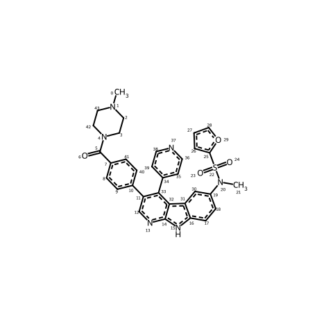 CN1CCN(C(=O)c2ccc(-c3cnc4[nH]c5ccc(N(C)S(=O)(=O)c6ccco6)cc5c4c3-c3ccncc3)cc2)CC1